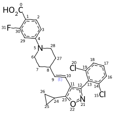 O=C(O)c1ccc(N2CCC(/C=C/c3c(-c4c(Cl)cccc4Cl)noc3C3CC3)CC2)cc1F